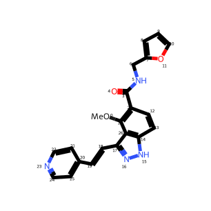 COc1c(C(=O)NCc2ccco2)ccc2[nH]nc(/C=C/c3ccncc3)c12